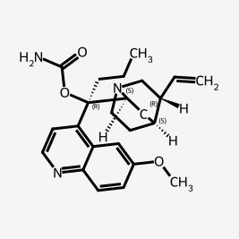 C=C[C@H]1CN2CC[C@H]1C[C@H]2[C@](CCC)(OC(N)=O)c1ccnc2ccc(OC)cc12